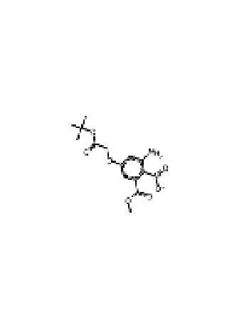 COC(=O)c1cc(OCC(=O)OC(C)(C)C)cc(N)c1[N+](=O)[O-]